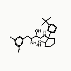 CC(C)(C)c1cccc(C2(NCC(O)C(N)Cc3cc(F)cc(F)c3)CCCCC2O)c1